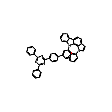 c1ccc(-c2nc(-c3ccccc3)nc(-c3ccc(-c4cccc(-n5c6ccccc6c6ccc7ccn(-c8ccccc8)c7c65)c4)cc3)n2)cc1